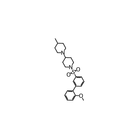 COc1ccccc1-c1cccc(S(=O)(=O)N2CCC(N3CCC(C)CC3)CC2)c1